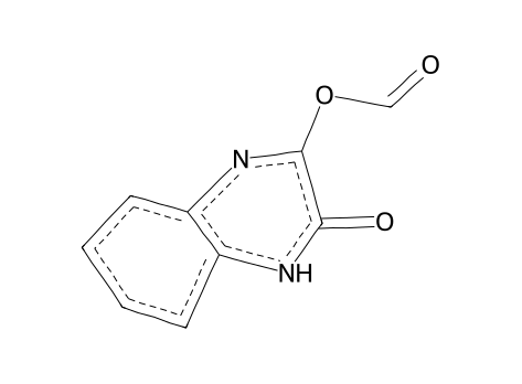 O=COc1nc2ccccc2[nH]c1=O